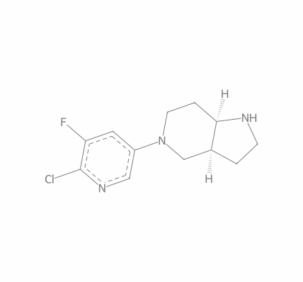 Fc1cc(N2CC[C@H]3NCC[C@H]3C2)cnc1Cl